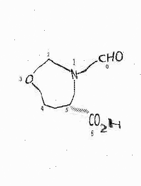 O=CN1COC[C@H]1C(=O)O